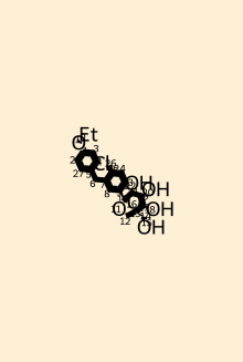 CCOc1ccc(Cc2cc([C@]34OC[C@@](CO)(O3)[C@@H](O)[C@H](O)[C@H]4O)ccc2Cl)cc1